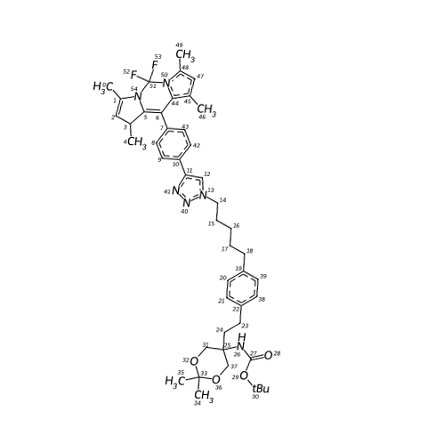 CC1=CC(C)C2=C(c3ccc(-c4cn(CCCCCc5ccc(CCC6(NC(=O)OC(C)(C)C)COC(C)(C)OC6)cc5)nn4)cc3)c3c(C)cc(C)n3C(F)(F)N12